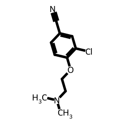 CN(C)CCOc1ccc(C#N)cc1Cl